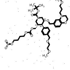 COCCCN1CCOc2ccc(CO[C@H]3CN(C(=O)OC(C)(C)C)C[C@@H](COC(=O)OCCCCO[N+](=O)[O-])[C@@H]3c3ccc(COCCOC)cc3)cc21